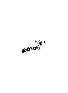 C=C(C)C(=O)OCCN(C)c1ccc(N=Nc2ccc(S(=O)(=O)c3ccccc3)cc2)cc1